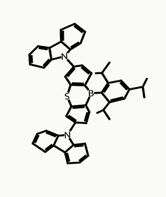 CC(C)c1cc(C(C)C)c(B2c3ccc(-n4c5ccccc5c5ccccc54)cc3Sc3cc(-n4c5ccccc5c5ccccc54)ccc32)c(C(C)C)c1